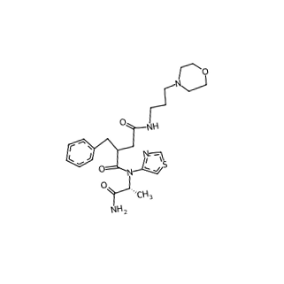 C[C@H](C(N)=O)N(C(=O)C(CC(=O)NCCCN1CCOCC1)Cc1ccccc1)c1cscn1